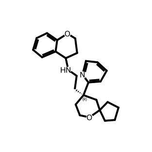 c1ccc([C@]2(CCNC3CCOc4ccccc43)CCOC3(CCCC3)C2)nc1